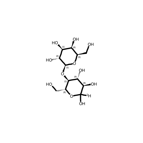 [2H]C1(O)O[C@H](CO)[C@@H](O[C@@H]2O[C@H](CO)[C@H](O)[C@H](O)[C@H]2O)[C@H](O)[C@H]1O